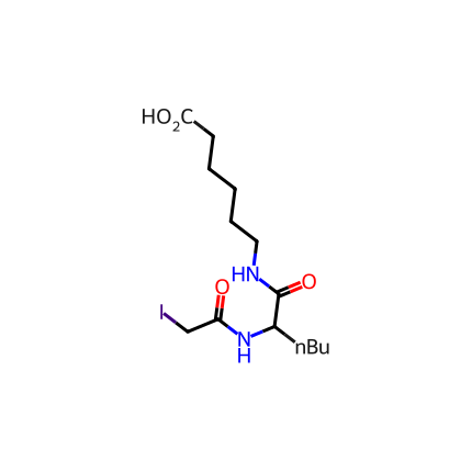 CCCCC(NC(=O)CI)C(=O)NCCCCCC(=O)O